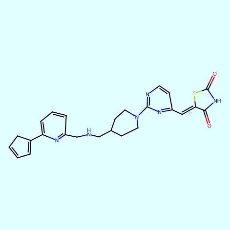 O=C1NC(=O)/C(=C/c2ccnc(N3CCC(CNCc4cccc(C5=CC=CC5)n4)CC3)n2)S1